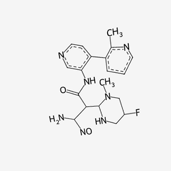 Cc1ncccc1-c1ccncc1NC(=O)C(C(N)N=O)C1NCC(F)CN1C